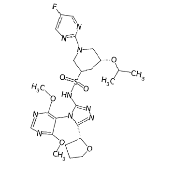 COc1ncnc(OC)c1-n1c(NS(=O)(=O)C2C[C@@H](OC(C)C)CN(c3ncc(F)cn3)C2)nnc1[C@H]1CCCO1